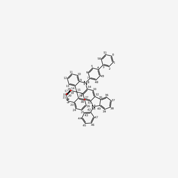 c1ccc(-c2ccc(N3c4ccccc4C4(c5ccccc5Sc5ccccc54)c4cc5c(cc43)c3ccccc3n5-c3ccccc3)cc2)cc1